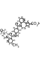 Cc1cnc(N2CCC3(CC2)COC3)c(C(=O)Nc2ccc(C(=O)N3CCc4cc(C(=O)O)sc4-c4ncccc43)cc2)c1